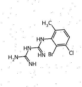 Cc1ccc(Cl)c(Br)c1NC(=N)NC(=N)N